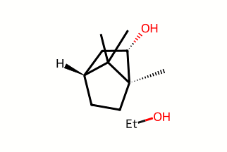 CC1(C)[C@@H]2CC[C@]1(C)[C@@H](O)C2.CCO